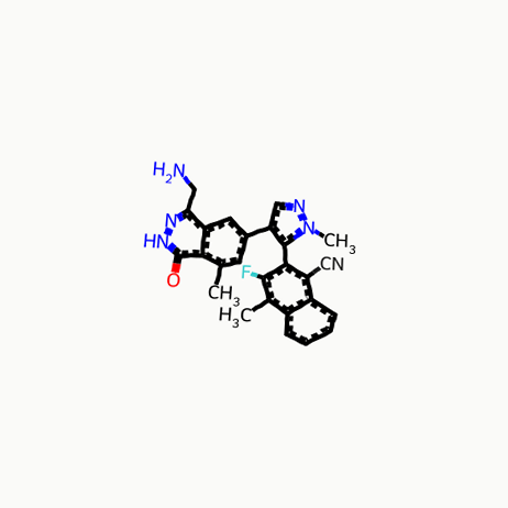 Cc1c(F)c(-c2c(-c3cc(C)c4c(=O)[nH]nc(CN)c4c3)cnn2C)c(C#N)c2ccccc12